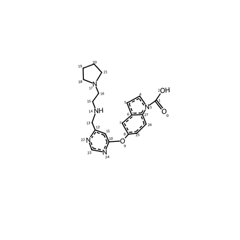 O=C(O)n1ccc2cc(Oc3cc(CNCCN4CCCC4)ncn3)ccc21